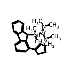 C[N](C)[Zr]([N](C)C)[Sn]([CH3])([CH3])[CH]1c2ccccc2-c2cccc(C3=CC=CC3)c21